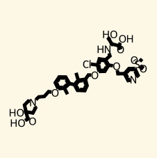 Cc1c(COc2cc(OCc3cncc(S(C)(=O)=O)c3)c(CNC(CO)C(=O)O)cc2Cl)cccc1-c1cccc(OCCCN2CCC(O)(C(=O)O)CC2)c1C